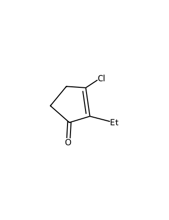 CCC1=C(Cl)CCC1=O